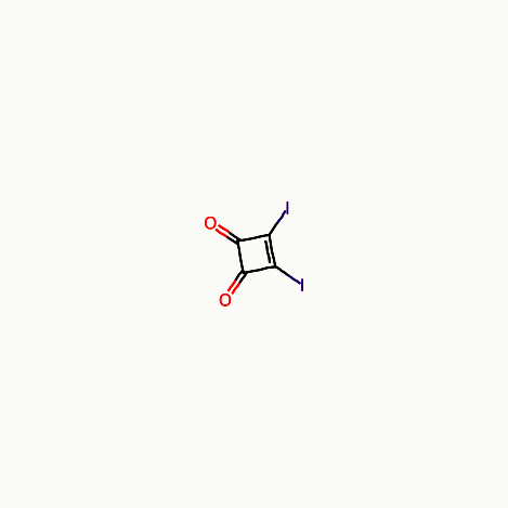 O=c1c(I)c(I)c1=O